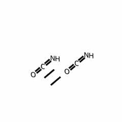 CC.CC.N=C=O.N=C=O